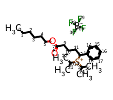 CCCCCCOC(=O)CCCC(c1ccccc1)[S+](C(C)C)C(C)C.F[B-](F)(F)F